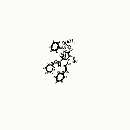 CC(C)C[C@@H](C(=O)NN(c1ccccc1)S(C)(=O)=O)[C@H](CC=Cc1ccccc1)C(=O)NOC1CCCCO1